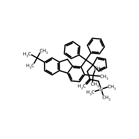 C=C(CC1(C(c2ccccc2)(c2ccccc2)c2c(C(C)(C)C)ccc3c2Cc2cc(C(C)(C)C)ccc2-3)C=CC=C1)C[Si](C)(C)C